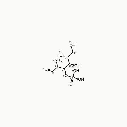 N[C@H](C=O)[C@H](OP(=O)(O)O)[C@H](O)[C@H](O)CO